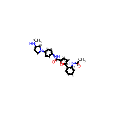 CNC1CCN(c2ccc(NC(=O)c3ccc(-c4ccccc4NC(C)=O)o3)cc2)C1